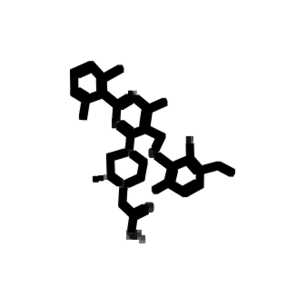 CCc1ccc(C)c(OCc2c(C)nc(-c3c(C)cccc3C)nc2N2CCN(CC(N)=O)[C@H](C)C2)c1F